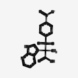 CC(C(=O)O)(c1c[nH]c2ncccc12)S(=O)(=O)c1ccc([N+](=O)[O-])cc1